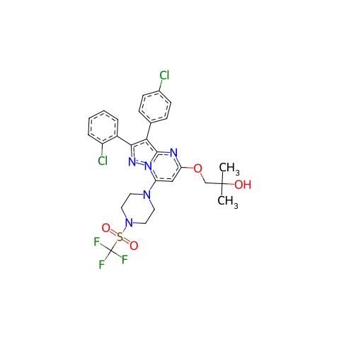 CC(C)(O)COc1cc(N2CCN(S(=O)(=O)C(F)(F)F)CC2)n2nc(-c3ccccc3Cl)c(-c3ccc(Cl)cc3)c2n1